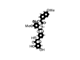 COc1ccc2cc([C@H](C)C(=O)OC[C@@H]3Oc4ccc(C5Oc6cc(O)cc(O)c6C(=O)[C@H]5O)cc4O[C@H]3c3ccc(O)c(OC)c3)ccc2c1